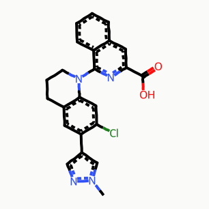 Cn1cc(-c2cc3c(cc2Cl)N(c2nc(C(=O)O)cc4ccccc24)CCC3)cn1